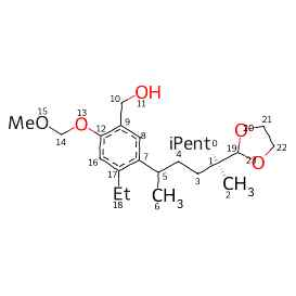 CCC[C@@H](C)[C@](C)(CCC(C)c1cc(CO)c(OCOC)cc1CC)C1OCCO1